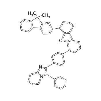 CC1(C)c2ccccc2-c2ccc(-c3cccc4c3oc3c(-c5ccc(-c6nc7ccccn7c6-c6ccccc6)cc5)cccc34)cc21